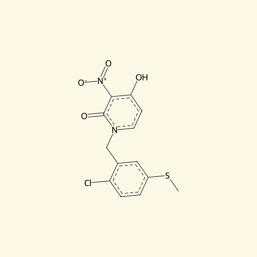 CSc1ccc(Cl)c(Cn2ccc(O)c([N+](=O)[O-])c2=O)c1